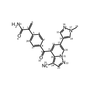 C=C(C(N)=O)c1ccc(C(=O)c2cc(-c3cnn(C)c3)cn3ncc(C#N)c23)cc1